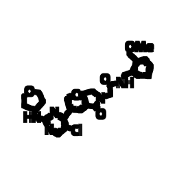 COCc1ccccc1CNC(=O)CN1Cc2ccc(-c3nc(NC4CCOCC4)ncc3Cl)cc2C1=O